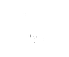 CC(C)(C)OC(=O)NCCCC1CCC2OC2C1